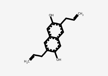 C=CCc1cc2cc(O)c(CC=C)cc2cc1O